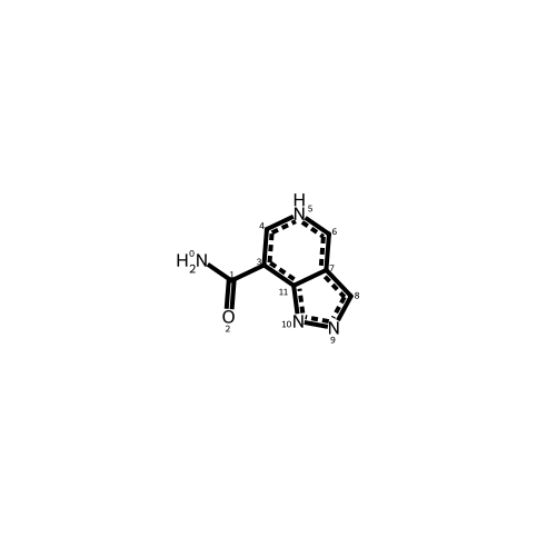 NC(=O)c1c[nH]cc2cnnc1-2